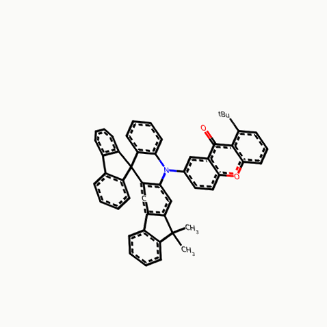 CC(C)(C)c1cccc2oc3ccc(N4c5ccccc5C5(c6ccccc6-c6ccccc65)c5cc6c(cc54)C(C)(C)c4ccccc4-6)cc3c(=O)c12